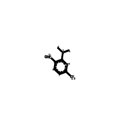 CN(C)c1nc(C(F)(F)F)ccc1C=O